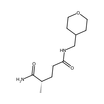 C[C@@H](C[CH]C(=O)NCC1CCOCC1)C(N)=O